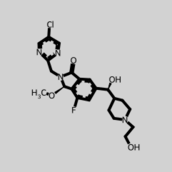 CO[C@@H]1c2c(F)cc([C@@H](O)C3CCN(CCO)CC3)cc2C(=O)N1Cc1ncc(Cl)cn1